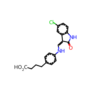 O=C(O)CCCc1ccc(NC=C2C(=O)Nc3ccc(Cl)cc32)cc1